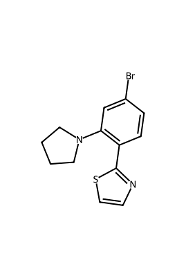 Brc1ccc(-c2nccs2)c(N2CCCC2)c1